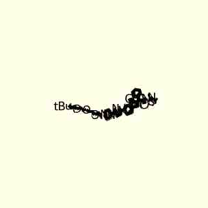 CC(C)(C)CCOCCOCCOCCN1CCN(c2ccc(-c3ccc4c(c3)C(=O)N(C(C(=O)Nc3nccs3)c3ccccc3)C4)cn2)CC1